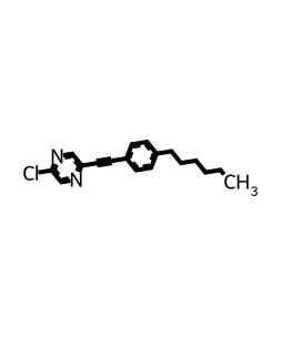 CCCCCCc1ccc(C#Cc2cnc(Cl)cn2)cc1